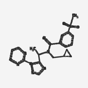 CC(c1ncnn1-c1ncccn1)N(CC1CC1)C(=O)c1cccc(S(C)(=O)=O)c1